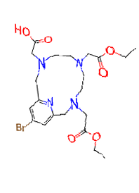 CCOC(=O)CN1CCN(CC(=O)O)Cc2cc(Br)cc(n2)CN(CC(=O)OCC)CC1